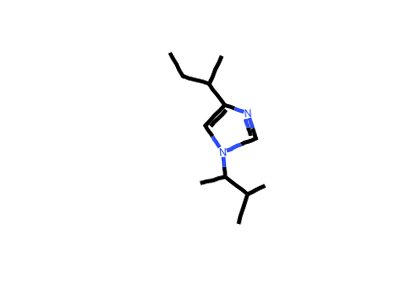 CCC(C)c1cn(C(C)C(C)C)cn1